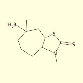 BC1(C)CCCC2C(C1)SC(=S)N2C